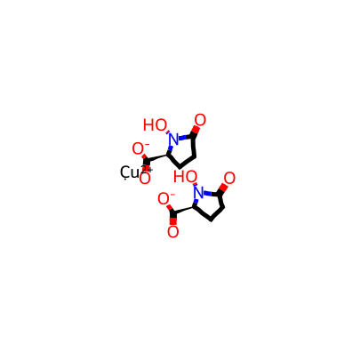 O=C([O-])[C@@H]1CCC(=O)N1O.O=C([O-])[C@@H]1CCC(=O)N1O.[Cu+2]